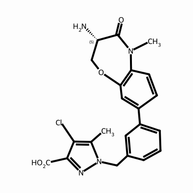 Cc1c(Cl)c(C(=O)O)nn1Cc1cccc(-c2ccc3c(c2)OC[C@H](N)C(=O)N3C)c1